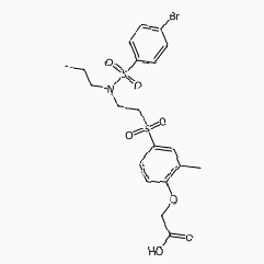 CCCN(CCS(=O)(=O)c1ccc(OCC(=O)O)c(C)c1)S(=O)(=O)c1ccc(Br)cc1